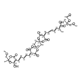 COCC1(C)OC(=O)C(/C=C/C=C/C=C2C(=O)OC3(CCC4(CC3)OC(=O)C(=C/C=C/C=C/C(C)=C(\O)OC(C)(COC)OC=O)C(=O)O4)OC2=O)=C(O)O1